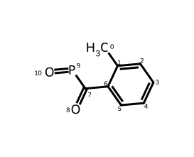 Cc1ccccc1C(=O)P=O